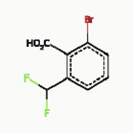 O=C(O)c1c(Br)cccc1C(F)F